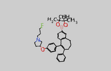 CC1(C)OB(c2ccc3c(c2)CCCC(c2ccccc2)=C3c2ccc(O[C@H]3CCN(CCCF)C3)cc2)OC1(C)C